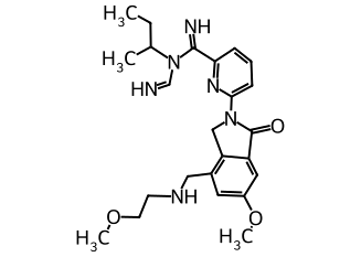 CCC(C)N(C=N)C(=N)c1cccc(N2Cc3c(CNCCOC)cc(OC)cc3C2=O)n1